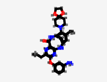 CCc1nc2c(nc1Oc1cccc(N)c1)Nc1cc(C)c(N3CCC4(CC3)OCCO4)c(c1)NC2=O